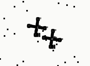 [O-][Cl+3]([O-])([O-])O.[O-][I+3]([O-])([O-])O